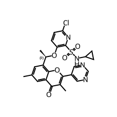 Cc1cc([C@@H](C)Oc2ccc(Cl)nc2S(=O)(=O)NC2CC2)c2oc(-c3cncnc3)c(C)c(=O)c2c1